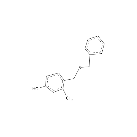 Cc1cc(O)ccc1CSCc1ccccc1